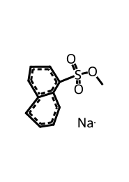 COS(=O)(=O)c1cccc2ccccc12.[Na]